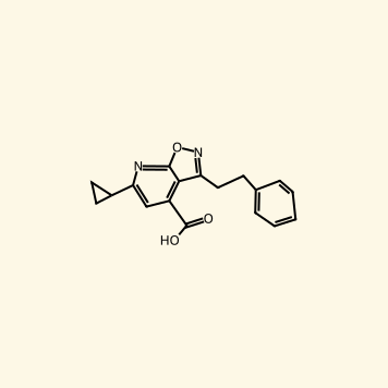 O=C(O)c1cc(C2CC2)nc2onc(CCc3ccccc3)c12